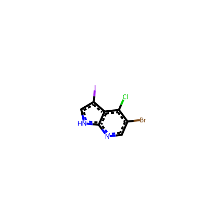 Clc1c(Br)cnc2[nH]cc(I)c12